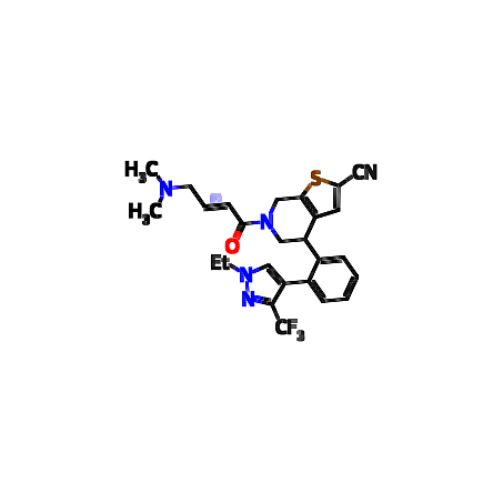 CCn1cc(-c2ccccc2C2CN(C(=O)/C=C/CN(C)C)Cc3sc(C#N)cc32)c(C(F)(F)F)n1